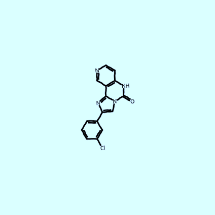 O=c1[nH]c2ccncc2c2nc(-c3cccc(Cl)c3)cn12